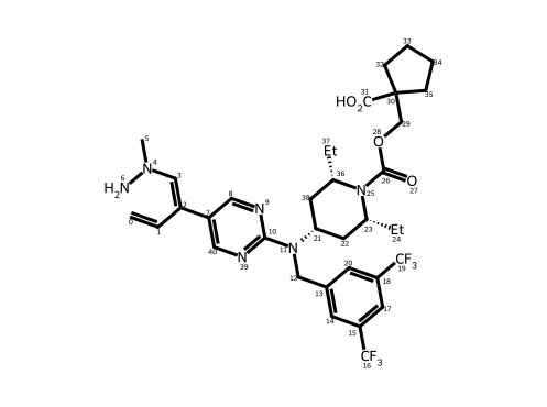 C=C/C(=C\N(C)N)c1cnc(N(Cc2cc(C(F)(F)F)cc(C(F)(F)F)c2)[C@H]2C[C@@H](CC)N(C(=O)OCC3(C(=O)O)CCCC3)[C@@H](CC)C2)nc1